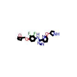 Fc1c(Nc2ncnc3ccc(O[C@H]4CCNC4)nc23)ccc(OCC23CC(CO2)C3)c1F